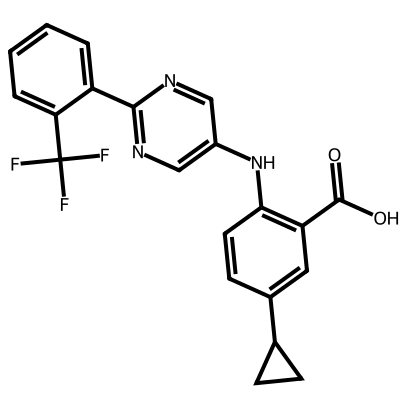 O=C(O)c1cc(C2CC2)ccc1Nc1cnc(-c2ccccc2C(F)(F)F)nc1